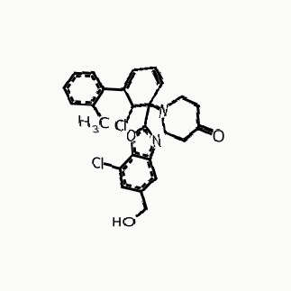 Cc1ccccc1C1=CC=CC(c2nc3cc(CO)cc(Cl)c3o2)(N2CCC(=O)CC2)C1Cl